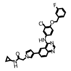 O=C(Cn1ccc(-c2ccc3ncnc(Nc4ccc(OCc5cccc(F)c5)c(Cl)c4)c3c2)c1)NC1CC1